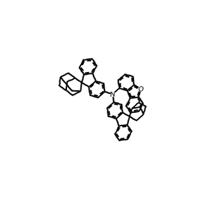 c1ccc2c(c1)-c1ccc(N(c3ccc4c(c3)-c3ccccc3C43C4CC5CC(C4)CC3C5)c3cccc4oc5ccccc5c34)cc1C21CC2CCC1C2